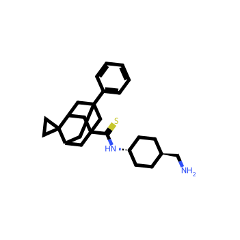 NC[C@H]1CC[C@H](NC(=S)C23CC4CC(c5ccccc5)(CC(C2)C42CC2)C3)CC1